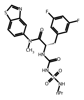 CCCNS(=O)(=O)NC(=O)N[C@@H](Cc1cc(F)cc(F)c1)C(=O)N(C)c1ccc2scnc2c1